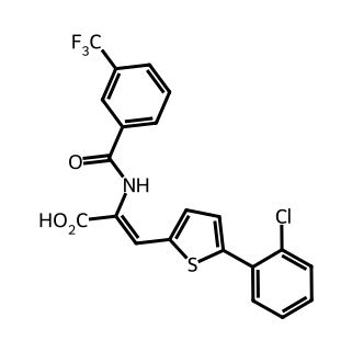 O=C(O)C(=Cc1ccc(-c2ccccc2Cl)s1)NC(=O)c1cccc(C(F)(F)F)c1